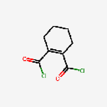 O=C(Cl)C1=C(C(=O)Cl)CCCC1